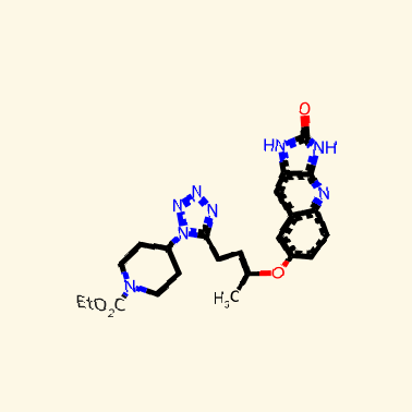 CCOC(=O)N1CCC(n2nnnc2CCC(C)Oc2ccc3nc4[nH]c(=O)[nH]c4cc3c2)CC1